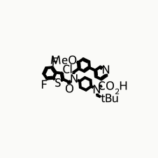 COc1ccc(-c2cccnc2)cc1CN(C(=O)c1sc2c(F)ccc(F)c2c1Cl)C1CCC(N(CC(C)(C)C)C(=O)O)CC1